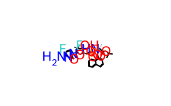 CC(C)OC(=O)[C@@H](C)NP(=O)(OC[C@H]1O[C@@H](n2cc(F)c(N)nc2=O)[C@](C)(F)[C@@H]1O)Oc1cccc2ccccc12